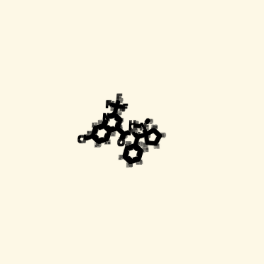 CN(C)C1(C(NC(=O)c2cc(C(F)(F)F)nc3cc(Cl)ccc23)c2ccccc2)CCCC1